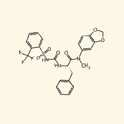 CN(C(=O)[C@H](Cc1ccccc1)NC(=O)NS(=O)(=O)c1ccccc1C(F)(F)F)c1ccc2c(c1)OCO2